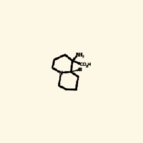 N[C@@]1(C(=O)O)CCCN2CCCC[C@@H]21